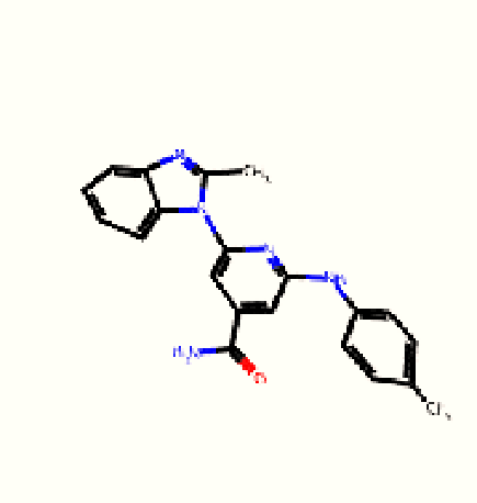 Cc1nc2ccccc2n1-c1cc(C(N)=O)cc(Nc2ccc(C(F)(F)F)cc2)n1